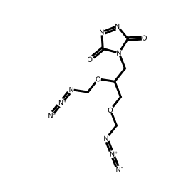 [N-]=[N+]=NCOCC(CN1C(=O)N=NC1=O)OCN=[N+]=[N-]